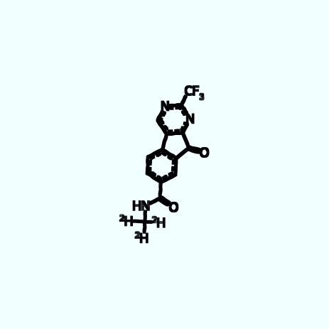 [2H]C([2H])([2H])NC(=O)c1ccc2c(c1)C(=O)c1nc(C(F)(F)F)ncc1-2